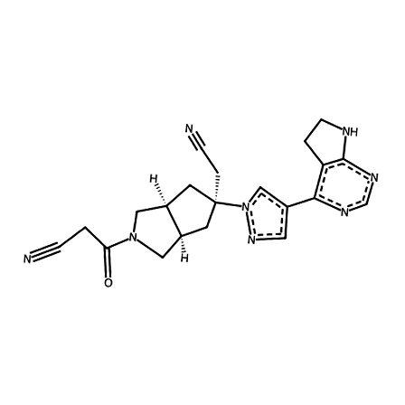 N#CCC(=O)N1C[C@@H]2C[C@](CC#N)(n3cc(-c4ncnc5c4CCN5)cn3)C[C@@H]2C1